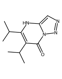 CC(C)c1[nH]c2cnnn2c(=O)c1C(C)C